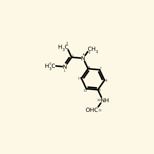 CN=C(C)N(C)c1ccc(NC=O)cc1